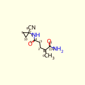 C[C@@H](C[CH]C(=O)NC1(C#N)CC1)C(N)=O